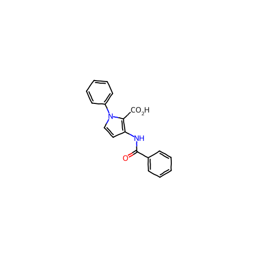 O=C(Nc1ccn(-c2ccccc2)c1C(=O)O)c1ccccc1